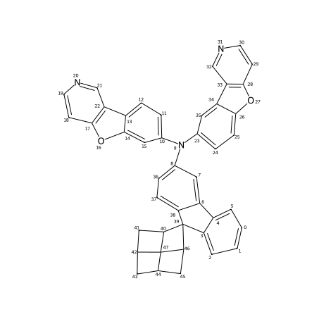 c1ccc2c(c1)-c1cc(N(c3ccc4c(c3)oc3ccncc34)c3ccc4oc5ccncc5c4c3)ccc1C21C2CC3CC4CC1C342